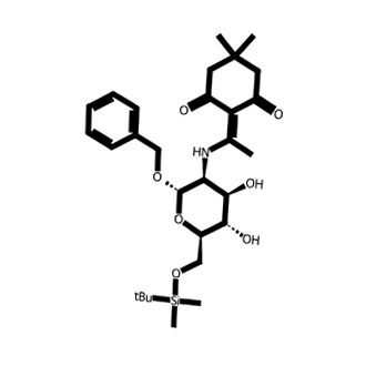 CC(N[C@@H]1[C@@H](OCc2ccccc2)O[C@H](CO[Si](C)(C)C(C)(C)C)[C@@H](O)[C@@H]1O)=C1C(=O)CC(C)(C)CC1=O